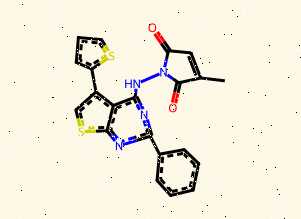 CC1=CC(=O)N(Nc2nc(-c3ccccc3)nc3scc(-c4cccs4)c23)C1=O